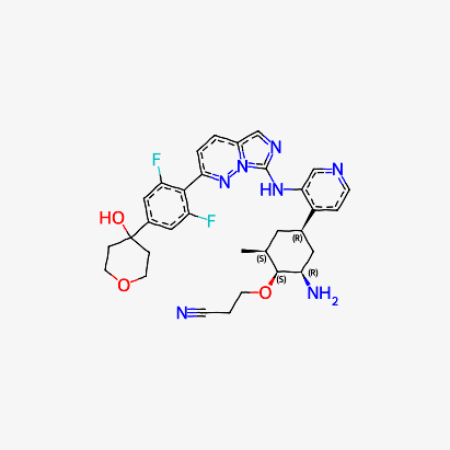 C[C@H]1C[C@@H](c2ccncc2Nc2ncc3ccc(-c4c(F)cc(C5(O)CCOCC5)cc4F)nn23)C[C@@H](N)[C@H]1OCCC#N